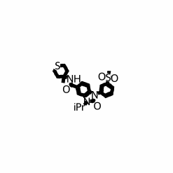 CC(C)n1c(=O)n(-c2cccc(S(C)(=O)=O)c2)c2ccc(C(=O)NC3(C)CCSCC3)cc21